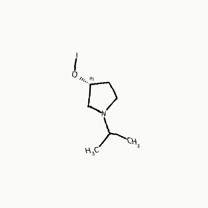 CC(C)N1CC[C@@H](OI)C1